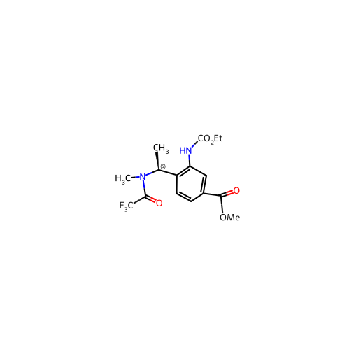 CCOC(=O)Nc1cc(C(=O)OC)ccc1[C@H](C)N(C)C(=O)C(F)(F)F